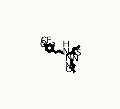 Cc1cc(-c2nc(NCCCc3ccc(OC(F)(F)F)cc3)c3cc(C)sc3n2)no1